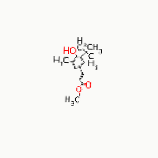 CCOC(=O)C=Cc1cc(C)c(O)c(C(C)(C)C)c1